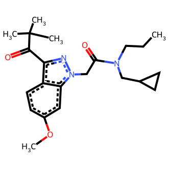 CCCN(CC1CC1)C(=O)Cn1nc(C(=O)C(C)(C)C)c2ccc(OC)cc21